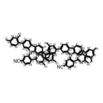 Cc1cc(C)cc(-c2ccc3c4ccc(-c5cc(C)cc(Cc6c(C)nc(-c7ccc(C#N)cc7-n7c8cc(-c9ccc(C)cc9C)ccc8c8ccc(-c9ccc(C)cc9C)cc87)nc6C)c5)cc4n(-c4cc(C#N)ccc4-c4nc(C)cc(C)n4)c3c2)c1